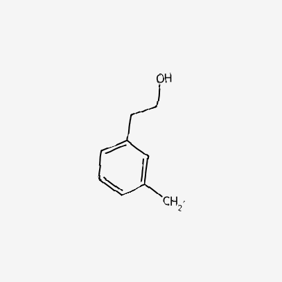 [CH2]c1cccc(CCO)c1